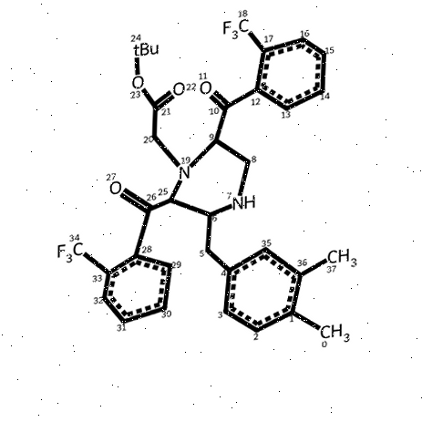 Cc1ccc(CC2NCC(C(=O)c3ccccc3C(F)(F)F)N(CC(=O)OC(C)(C)C)C2C(=O)c2ccccc2C(F)(F)F)cc1C